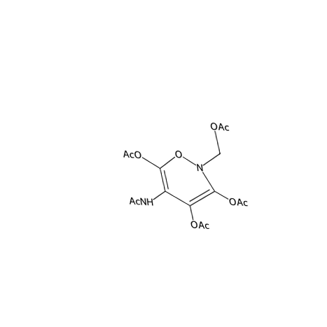 CC(=O)NC1=C(OC(C)=O)ON(COC(C)=O)C(OC(C)=O)=C1OC(C)=O